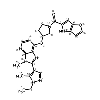 CCn1ncc(-c2nc3c(OC4CCN(C(=O)c5cc6occc6[nH]5)C4)ncnc3n2C)c1C